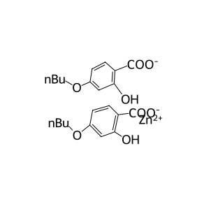 CCCCOc1ccc(C(=O)[O-])c(O)c1.CCCCOc1ccc(C(=O)[O-])c(O)c1.[Zn+2]